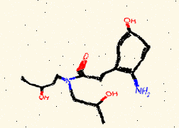 CC(O)CN(CC(C)O)C(=O)Cc1cc(O)ccc1N